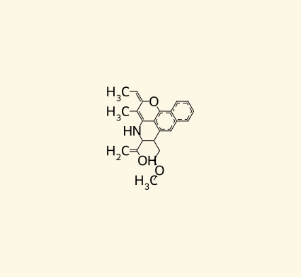 C=C(O)C1NC2=C(C)/C(=C\C)Oc3c2c(cc2ccccc32)C1CCOC